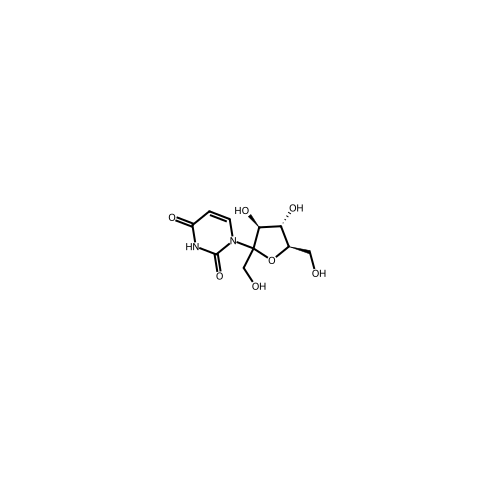 O=c1ccn(C2(CO)O[C@H](CO)[C@@H](O)[C@@H]2O)c(=O)[nH]1